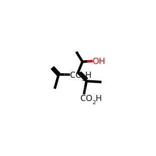 C=C(C)C(=O)O.CC(=CC(C)O)C(=O)O